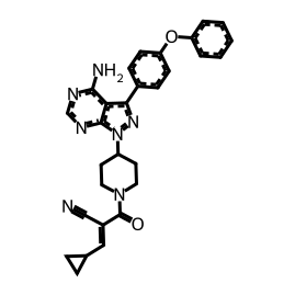 N#CC(=CC1CC1)C(=O)N1CCC(n2nc(-c3ccc(Oc4ccccc4)cc3)c3c(N)ncnc32)CC1